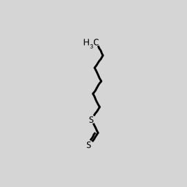 CCCCCCSC=S